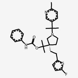 Cc1ccc(C(C)(C)N2CC[C@@](CCc3ccc(F)s3)(C(C)(C)OC(=O)Nc3ccccc3)C2)cn1